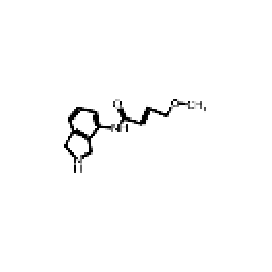 COC/C=C/C(=O)Nc1cccc2c1CNC2